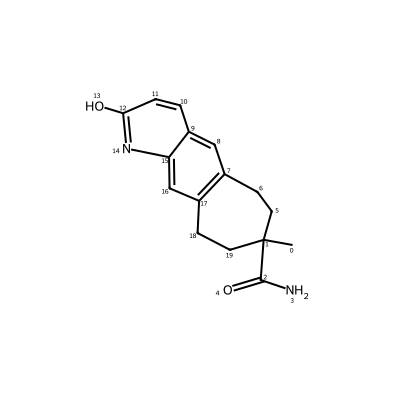 CC1(C(N)=O)CCc2cc3ccc(O)nc3cc2CC1